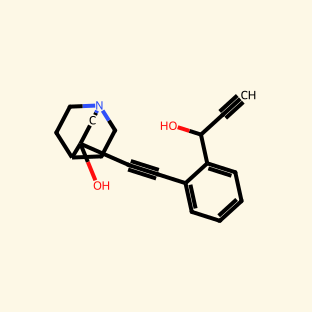 C#CC(O)c1ccccc1C#CC1(O)CN2CCC1CC2